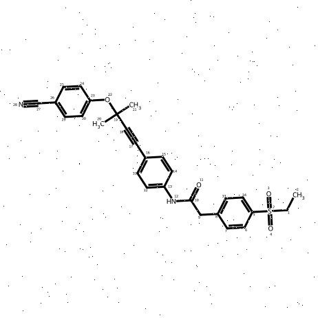 CCS(=O)(=O)c1ccc(CC(=O)Nc2ccc(C#CC(C)(C)Oc3ccc(C#N)cc3)cc2)cc1